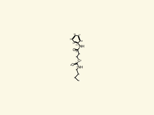 CCCCNC(=O)OCCC(=O)Nc1ccccc1